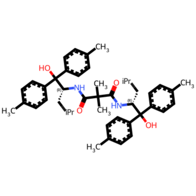 Cc1ccc(C(O)(c2ccc(C)cc2)[C@@H](CC(C)C)NC(=O)C(C)(C)C(=O)N[C@H](CC(C)C)C(O)(c2ccc(C)cc2)c2ccc(C)cc2)cc1